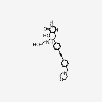 O=c1[nH]cnc(CC(CNCCO)c2ccc(C#Cc3ccc(CN4CCOCC4)cc3)cc2)c1O